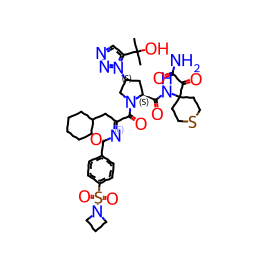 CC(C)(O)c1cnnn1[C@H]1C[C@@H](C(=O)NC2(C(=O)C(N)=O)CCSCC2)N(C(=O)/C(CC2CCCCC2)=N/C(=O)c2ccc(S(=O)(=O)N3CCC3)cc2)C1